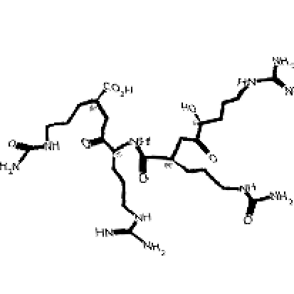 N=C(N)NCCC[C@H](NC(=O)[C@H](CCCNC(N)=O)CC(=O)[C@@H](O)CCCNC(=N)N)C(=O)C[C@@H](CCCNC(N)=O)C(=O)O